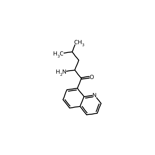 CC(C)CC(N)C(=O)c1cccc2cccnc12